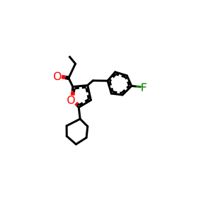 CCC(=O)c1oc(C2CCCCC2)cc1Cc1ccc(F)cc1